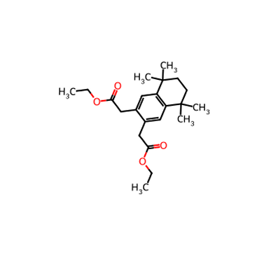 CCOC(=O)Cc1cc2c(cc1CC(=O)OCC)C(C)(C)CCC2(C)C